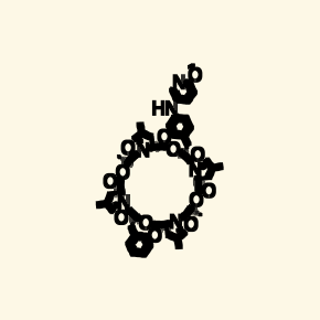 COc1ccc(Nc2ccc(C[C@H]3OC(=O)[C@H](CC(C)C)N(C)C(=O)[C@@H](C)OC(=O)[C@H](CC(C)C)N(C)C(=O)[C@@H](Cc4ccccc4)OC(=O)[C@H](CC(C)C)N(C)C(=O)[C@@H](C)OC(=O)[C@H](CC(C)C)N(C)C3=O)cc2)cn1